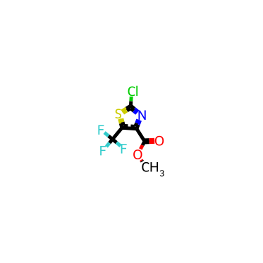 COC(=O)c1nc(Cl)sc1C(F)(F)F